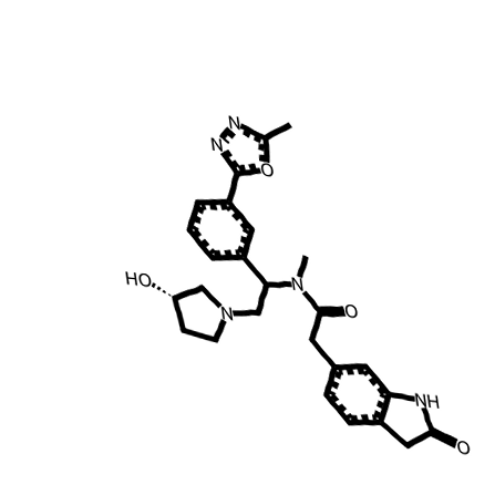 Cc1nnc(-c2cccc(C(CN3CC[C@H](O)C3)N(C)C(=O)Cc3ccc4c(c3)NC(=O)C4)c2)o1